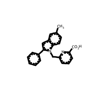 Cc1ccc2c(c1)cc(-c1ccccc1)n2Cc1cccc(C(=O)O)n1